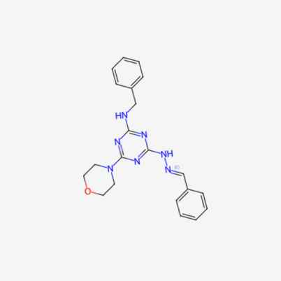 C(=N\Nc1nc(NCc2ccccc2)nc(N2CCOCC2)n1)/c1ccccc1